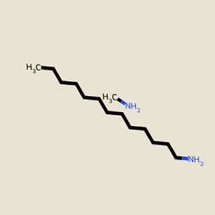 CCCCCCCCCCCCCN.CN